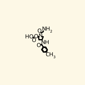 Cc1ccc(C(=O)N[C@H]2C[C@H](OC(=O)O)N(C(=O)CN)C2)cc1